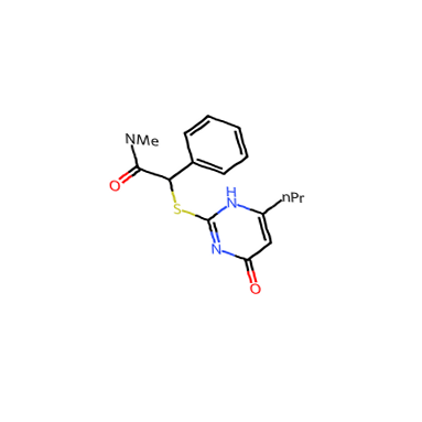 CCCc1cc(=O)nc(SC(C(=O)NC)c2ccccc2)[nH]1